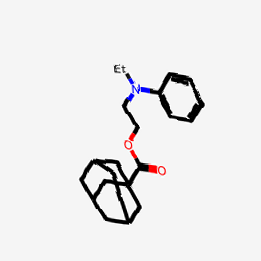 CCN(CCOC(=O)C12CC3CC(CC(C3)C1)C2)c1ccccc1